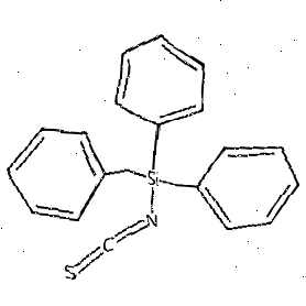 S=C=N[Si](c1ccccc1)(c1ccccc1)c1ccccc1